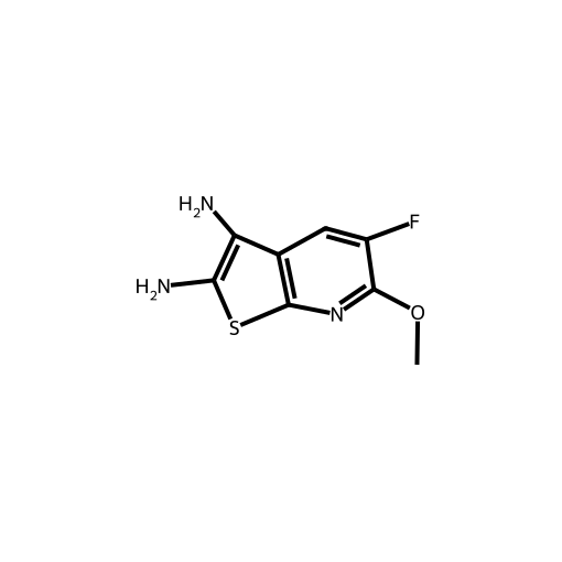 COc1nc2sc(N)c(N)c2cc1F